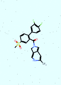 CS(=O)(=O)c1ccc(-c2ccc(F)c(F)c2)c(C(=O)N2C=C3C=C(C(F)(F)F)NC=C3C2)c1